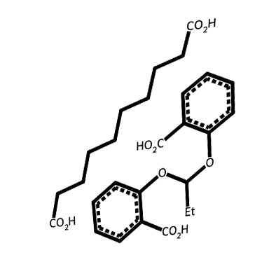 CCC(Oc1ccccc1C(=O)O)Oc1ccccc1C(=O)O.O=C(O)CCCCCCCCC(=O)O